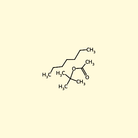 CC(=O)OC(C)(C)C.CCCCCCC